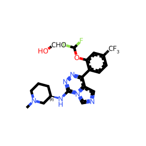 CN1CCC[C@@H](Nc2nnc(-c3ccc(C(F)(F)F)cc3OC(F)F)c3cncn23)C1.O=CO